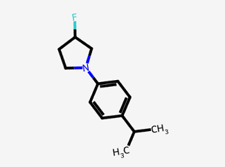 CC(C)c1ccc(N2CCC(F)C2)cc1